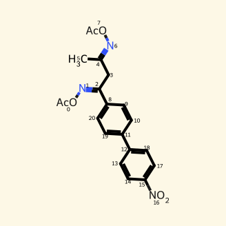 CC(=O)O/N=C(/C/C(C)=N/OC(C)=O)c1ccc(-c2ccc([N+](=O)[O-])cc2)cc1